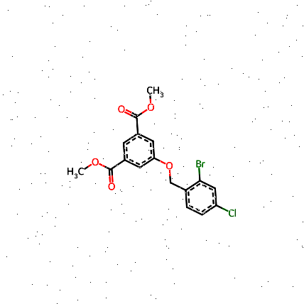 COC(=O)c1cc(OCc2ccc(Cl)cc2Br)cc(C(=O)OC)c1